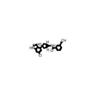 C#Cc1cccc(C(=O)NC2[C@H]3C[C@](O)(c4cc(Cl)cc5[nH]ncc45)C[C@@H]23)c1